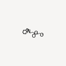 COCCOC(=O)CCn1ccc2ccccc21